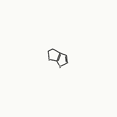 [c]1cc2c(s1)SCC2